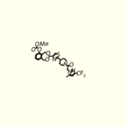 COC(=O)Oc1cccc2c1COC(c1csc(C3CCN(C(=O)Cn4nc(C(F)(F)F)cc4C)CC3)n1)OC2